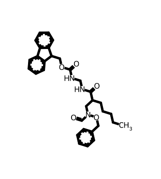 CCCCCC(CN(C=O)OCc1ccccc1)C(=O)NCNC(=O)OCC1c2ccccc2-c2ccccc21